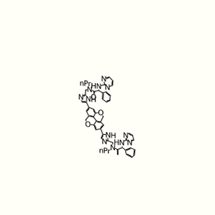 C=C([C@H](Nc1ncccn1)c1ccccc1)N(CCC)Cc1ncc(-c2cc3c4c(c2)OCc2cc(-c5cnc(CN(CCC)C(=O)[C@H](Nc6ncccn6)c6ccccc6)[nH]5)cc(c2-4)OC3)[nH]1